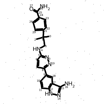 CC(C)(CNc1ccc(-c2ccc3[nH]nc(N)c3c2)nn1)c1ccc(C(N)=O)cc1